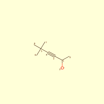 CC([O])C#CC(C)(C)C